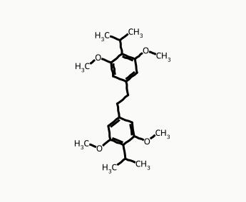 COc1cc(CCc2cc(OC)c(C(C)C)c(OC)c2)cc(OC)c1C(C)C